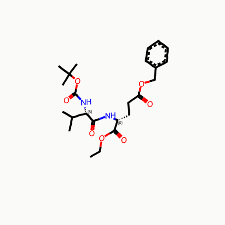 CCOC(=O)[C@@H](CCC(=O)OCc1ccccc1)NC(=O)[C@@H](NC(=O)OC(C)(C)C)C(C)C